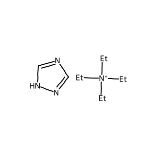 CC[N+](CC)(CC)CC.c1nc[nH]n1